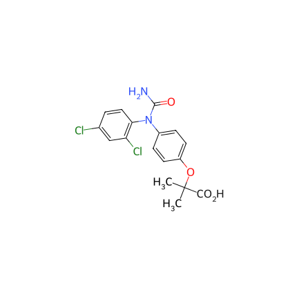 CC(C)(Oc1ccc(N(C(N)=O)c2ccc(Cl)cc2Cl)cc1)C(=O)O